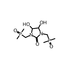 CP(C)(=O)CN1C(=O)N(CP(C)(C)=O)C(O)C1O